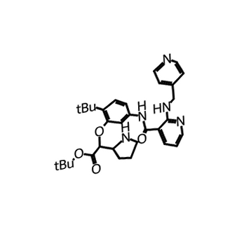 CC(C)(C)OC(=O)C(Oc1cc(NC(=O)c2cccnc2NCc2ccncc2)ccc1C(C)(C)C)C1CCCN1